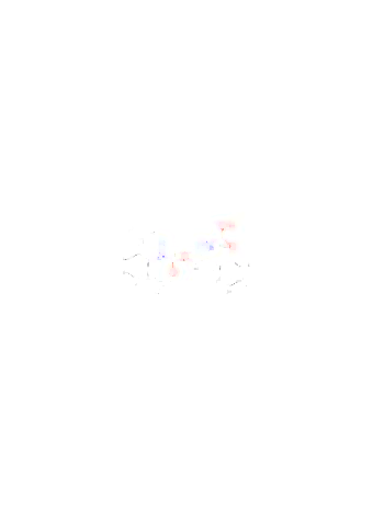 CC(C)c1cccc(C(C)C)c1NC(=O)OCC(NC(=O)O)c1ccccc1